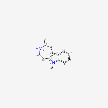 CC1Cc2c(n(C)c3ccccc23)CCN1